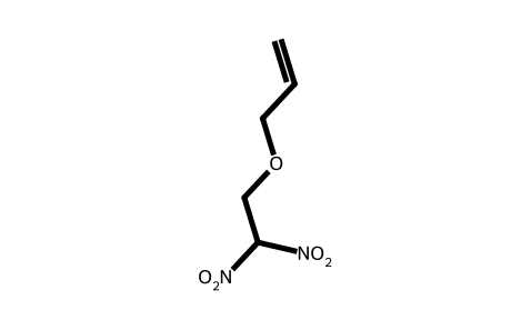 C=CCOCC([N+](=O)[O-])[N+](=O)[O-]